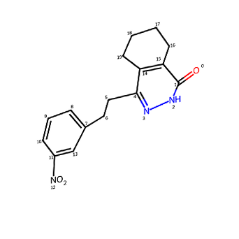 O=c1[nH]nc(CCc2cccc([N+](=O)[O-])c2)c2c1CCCC2